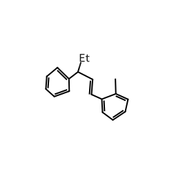 CCC(C=Cc1ccccc1C)c1ccccc1